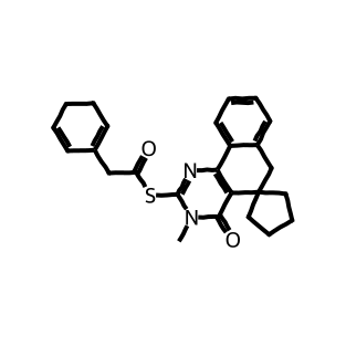 Cn1c(SC(=O)CC2=CCCC=C2)nc2c(c1=O)C1(CCCC1)Cc1ccccc1-2